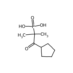 CC(C)(C(=O)C1CCCC1)P(=O)(O)O